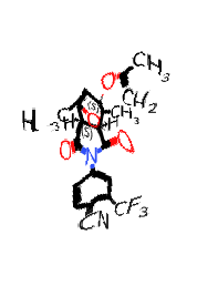 C=C(C)O[C@H]1CC2(C)OC1(C)[C@@H]1C(=O)N(c3ccc(C#N)c(C(F)(F)F)c3)C(=O)[C@@H]12